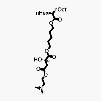 CCCCCCCCC(CCCCCC)C(=O)OCCCCCOC(=O)[C@@H](O)CC(=O)OCCN(C)C